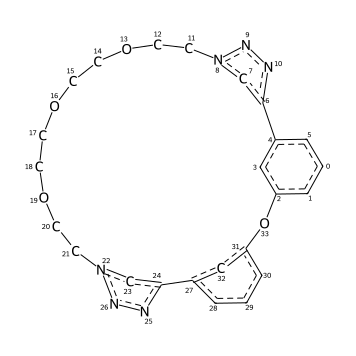 c1cc2cc(c1)-c1cn(nn1)CCOCCOCCOCCn1cc(nn1)-c1cccc(c1)O2